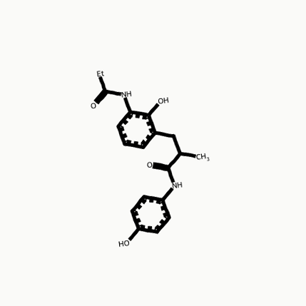 CCC(=O)Nc1cccc(CC(C)C(=O)Nc2ccc(O)cc2)c1O